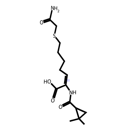 CC1(C)CC1C(=O)N/C(=C/CCCCSCC(N)=O)C(=O)O